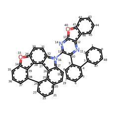 c1ccc(-c2ccccc2-c2nc3c(nc2-n2c4ccc5cccc6c5c4c4c5c(ccc42)oc2cccc-6c25)oc2ccccc23)cc1